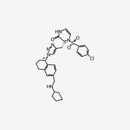 O=C1NC=CN(S(=O)(=O)c2ccc(Cl)cc2)[C@@H]1Cc1cn([C@@H]2CCCc3cc(CNC4CCCC4)ccc32)nn1